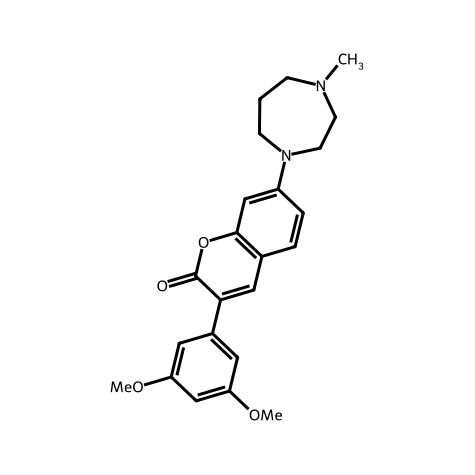 COc1cc(OC)cc(-c2cc3ccc(N4CCCN(C)CC4)cc3oc2=O)c1